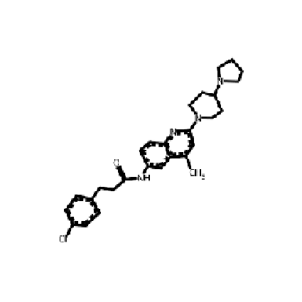 Cc1cc(N2CCC(N3CCCC3)CC2)nc2ccc(NC(=O)CCc3ccc(Cl)cc3)cc12